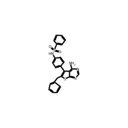 Nc1ncnc2sc(Cc3ccccc3)c(-c3ccc(NS(=O)(=O)c4ccccc4)cc3)c12